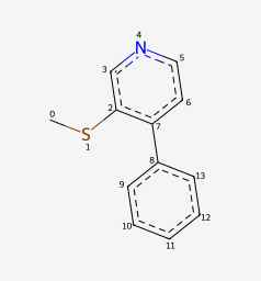 CSc1[c]nccc1-c1ccccc1